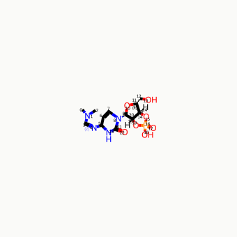 CN(C)/C=N\C1C=CN([C@@H]2O[C@H](CO)[C@H]3OP(=O)(O)O[C@H]32)C(=O)N1